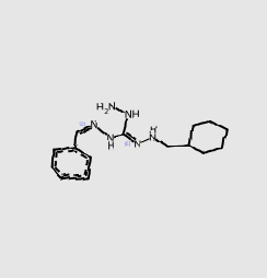 NN/C(=N\NCC1CCCCC1)N/N=C\c1ccccc1